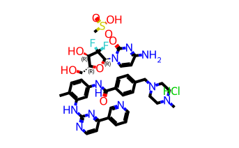 CS(=O)(=O)O.Cc1ccc(NC(=O)c2ccc(CN3CCN(C)CC3)cc2)cc1Nc1nccc(-c2cccnc2)n1.Cl.Nc1ccn([C@@H]2O[C@H](CO)[C@@H](O)C2(F)F)c(=O)n1